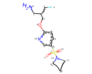 NC/C(=C/F)COc1ccc(S(=O)(=O)N2CCC2)cn1